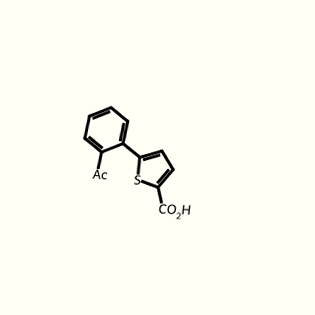 CC(=O)c1ccccc1-c1ccc(C(=O)O)s1